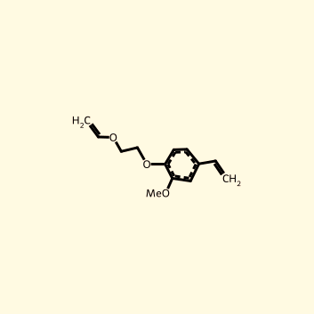 C=COCCOc1ccc(C=C)cc1OC